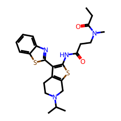 CCC(=O)N(C)CCC(=O)Nc1sc2c(c1-c1nc3ccccc3s1)CCN(C(C)C)C2